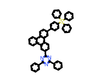 c1ccc(-c2nc(-c3ccccc3)nc(-c3ccc4c5cc(-c6ccc(S(c7ccccc7)(c7ccccc7)c7ccccc7)cc6)ccc5c5ccccc5c4c3)n2)cc1